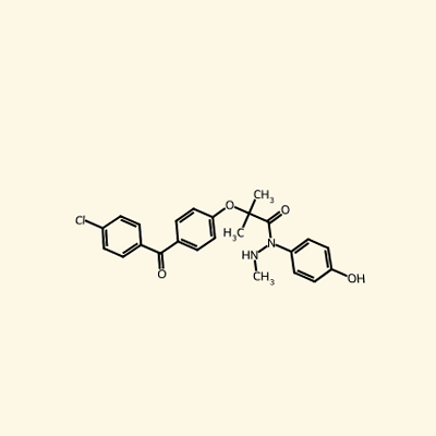 CNN(C(=O)C(C)(C)Oc1ccc(C(=O)c2ccc(Cl)cc2)cc1)c1ccc(O)cc1